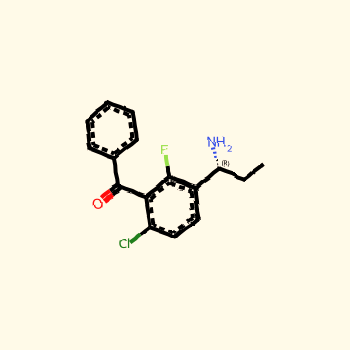 CC[C@@H](N)c1ccc(Cl)c(C(=O)c2ccccc2)c1F